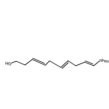 CCCCCC=CCC=CCC=CCCO